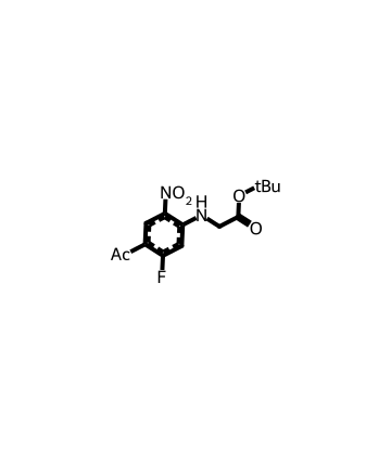 CC(=O)c1cc([N+](=O)[O-])c(NCC(=O)OC(C)(C)C)cc1F